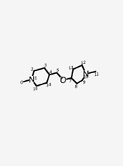 CN1CCC(COC2CCN(C)CC2)CC1